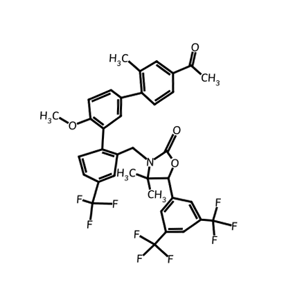 COc1ccc(-c2ccc(C(C)=O)cc2C)cc1-c1ccc(C(F)(F)F)cc1CN1C(=O)OC(c2cc(C(F)(F)F)cc(C(F)(F)F)c2)C1(C)C